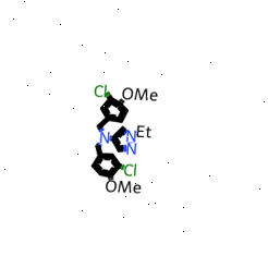 CCn1cc(N(Cc2ccc(OC)c(Cl)c2)Cc2ccc(OC)c(Cl)c2)cn1